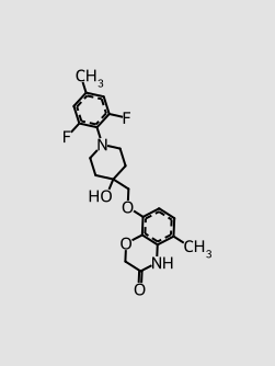 Cc1cc(F)c(N2CCC(O)(COc3ccc(C)c4c3OCC(=O)N4)CC2)c(F)c1